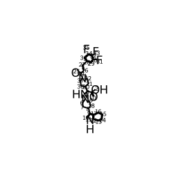 O=C(O)C(NN1CCC(c2c[nH]c3ccccc23)CC1)C1CCN(C(=O)C=Cc2cc(F)c(F)c(F)c2)CC1